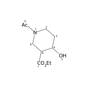 [CH2]C(=O)N1CCC(O)C(C(=O)OCC)C1